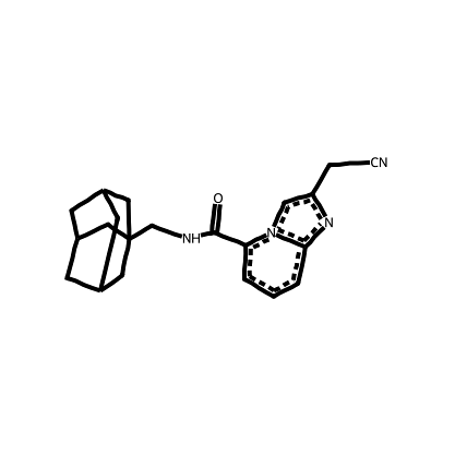 N#CCc1cn2c(C(=O)NCC34CC5CC(CC(C5)C3)C4)cccc2n1